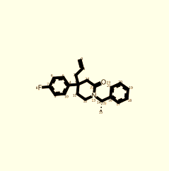 C=CCC1(c2ccc(F)cc2)CCN([C@@H](C)c2ccccc2)C(=O)C1